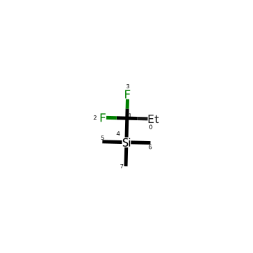 CCC(F)(F)[Si](C)(C)C